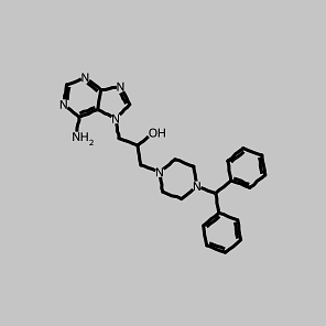 Nc1ncnc2ncn(CC(O)CN3CCN(C(c4ccccc4)c4ccccc4)CC3)c12